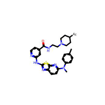 CC(=O)C1CCN(CCNC(=O)c2ccnc(Nc3nc4ccc(N(C)c5ccc(C)cc5)nc4s3)c2)CC1